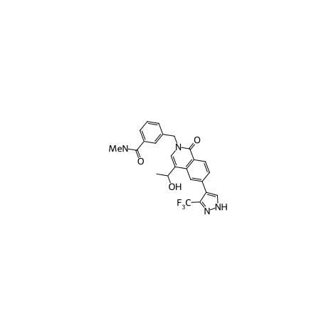 CNC(=O)c1cccc(Cn2cc(C(C)O)c3cc(-c4c[nH]nc4C(F)(F)F)ccc3c2=O)c1